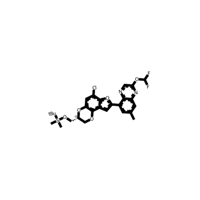 Cc1cc(-c2cc3c4c(cc(Cl)c3o2)O[C@@H](CO[Si](C)(C)C(C)(C)C)CO4)c2ncc(OC(F)F)nc2c1